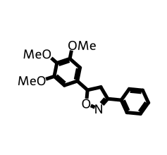 COc1cc(C2CC(c3ccccc3)=NO2)cc(OC)c1OC